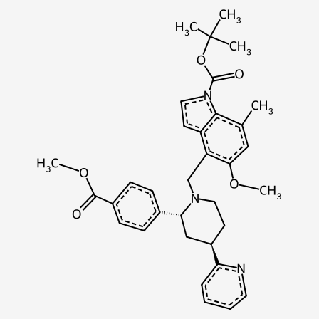 COC(=O)c1ccc([C@H]2C[C@H](c3ccccn3)CCN2Cc2c(OC)cc(C)c3c2ccn3C(=O)OC(C)(C)C)cc1